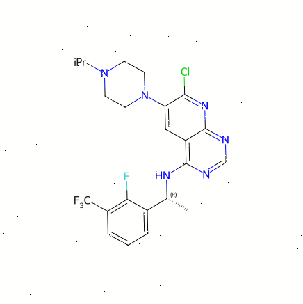 CC(C)N1CCN(c2cc3c(N[C@H](C)c4cccc(C(F)(F)F)c4F)ncnc3nc2Cl)CC1